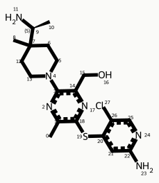 Cc1nc(N2CCC(C)([C@H](C)N)CC2)c(CO)nc1Sc1cc(N)ncc1Cl